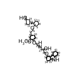 COc1cc(CCO[C@H]2CCCC[C@@H]2N2CCC(O)C2)ccc1OCCNC[C@H](O)COc1cccc2[nH]c3ccccc3c12